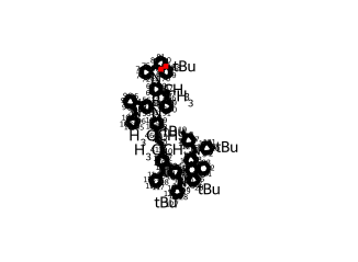 CC(C)(C)c1ccc(N(c2ccc(C(C)(C)C)cc2)c2ccc3c(c2)C2(CCCCC2)c2cc(C(C)(C)C)cc4c2B3c2cc3c5cc(C(C)(C)CCC(C)(C)c6ccc(N7c8cc9c(cc8B8c%10ccc(N(c%11ccc(C(C)(C)C)cc%11)c%11ccccc%11-c%11ccccc%11)cc%10C(C)(C)c%10cccc7c%108)c7ccccc7n9-c7ccccc7)cc6)ccc5n(-c5ccccc5)c3cc2N4c2ccc(C(C)(C)C)cc2)cc1